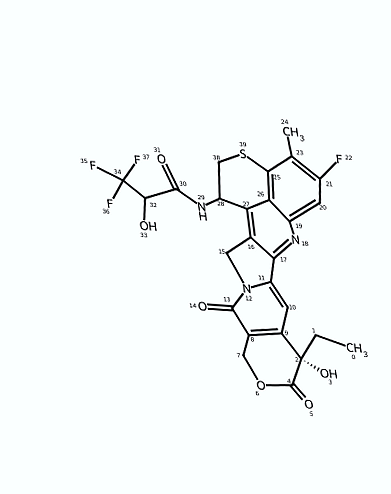 CC[C@@]1(O)C(=O)OCc2c1cc1n(c2=O)Cc2c-1nc1cc(F)c(C)c3c1c2C(NC(=O)C(O)C(F)(F)F)CS3